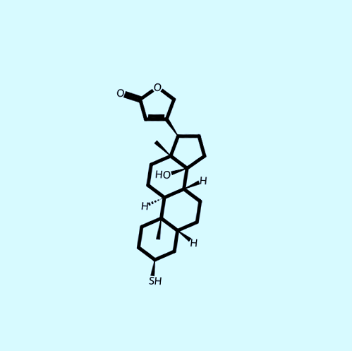 C[C@]12CC[C@H](S)C[C@H]1CC[C@@H]1[C@@H]2CC[C@]2(C)[C@@H](C3=CC(=O)OC3)CC[C@]12O